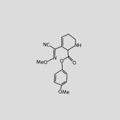 CON=C(C#N)C1=CCCNC1C(=O)Oc1ccc(OC)cc1